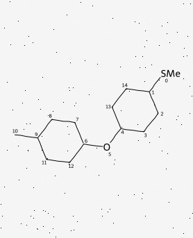 CSC1CCC(OC2CCC(C)CC2)CC1